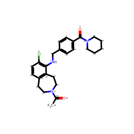 O=C(c1ccc(CNc2c(Cl)ccc3c2CCN(C(=O)C(F)(F)F)CC3)cc1)N1CCCCC1